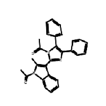 CC(=O)n1c(-c2c(C)n(C(C)=O)c3ccccc23)nc(-c2ccccc2)c1-c1ccccc1